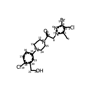 Cc1c(Cl)c(Br)nn1CC(=O)N1CCN(c2ccc(Cl)c(CO)c2)CC1